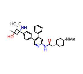 CN[C@H]1CC[C@H](CC(=O)Nc2cc(-c3ccccc3)c(-c3ccc([C@]4(NC(=O)O)C[C@](C)(O)C4)cc3)cn2)CC1